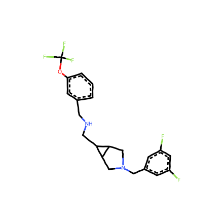 Fc1cc(F)cc(CN2CC3C(CNCc4cccc(OC(F)(F)F)c4)C3C2)c1